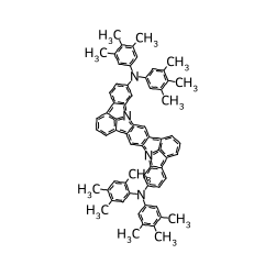 Cc1cc(C)c(N(c2cc(C)c(C)c(C)c2)c2ccc3c4cccc5c6cc7c(cc6n(c3c2)c45)c2cccc3c4ccc(N(c5cc(C)c(C)c(C)c5)c5cc(C)c(C)c(C)c5)cc4n7c32)cc1C